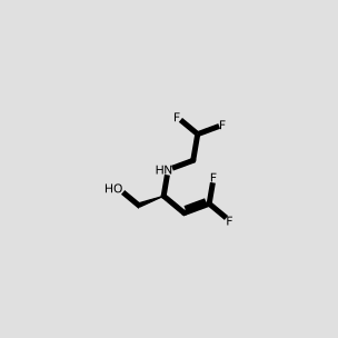 OC[C@H](C=C(F)F)NCC(F)F